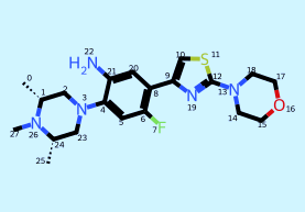 C[C@@H]1CN(c2cc(F)c(-c3csc(N4CCOCC4)n3)cc2N)C[C@H](C)N1C